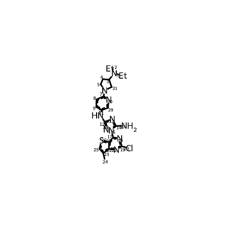 CCN(CC)C1CCN(c2ccc(Nc3nc(N)n(-c4nc(Cl)nc5c(C)csc45)n3)cn2)C1